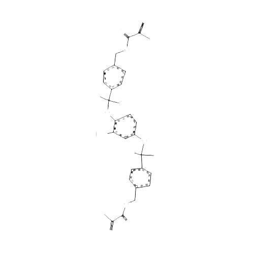 C=C(C)C(=O)OCc1ccc(C(F)(F)Oc2ccc(OC(F)(F)c3ccc(COC(=O)C(=C)C)cc3)c(C(F)(F)F)c2)cc1